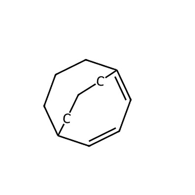 C1=CC2CCCC(=C1)CCC2